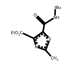 CCOC(=O)c1nc(C)sc1C(=O)NC(C)(C)C